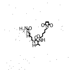 CC(C)[C@H](NC(=O)CCCCCN1C(=O)C=CC1=O)C(=O)N[C@H](C)CCCNC(N)=O